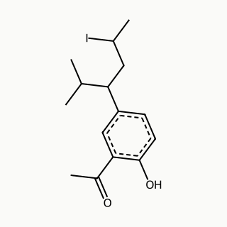 CC(=O)c1cc(C(CC(C)I)C(C)C)ccc1O